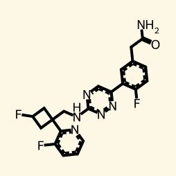 NC(=O)Cc1ccc(F)c(-c2cnc(NCC3(c4ncccc4F)CC(F)C3)nn2)c1